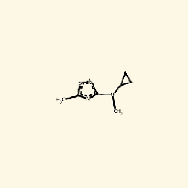 Cc1nc(N(C)C2CC2)ns1